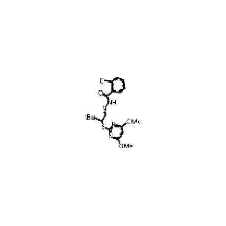 COc1cc(OC)nc(SC(C=NNC(=O)c2ccccc2Cl)C(C)(C)C)n1